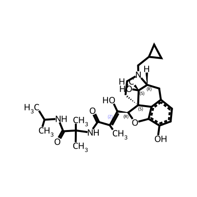 C/C(C(=O)NC(C)(C)C(=O)NC(C)C)=C(/O)[C@@H]1Oc2c(O)ccc3c2[C@@]12CCN(CC1CC1)[C@H](C3)[C@@]2(C)O